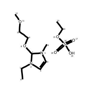 CCN1C=CN(C)C1OCCOC.CCOS(=O)(=O)O